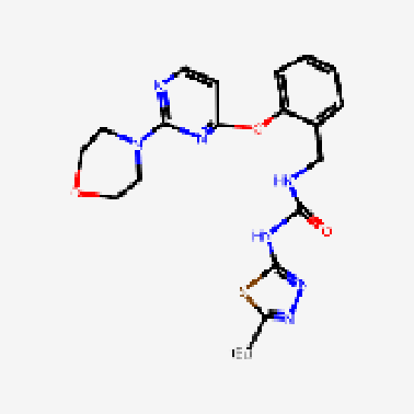 CC(C)(C)c1nnc(NC(=O)NCc2ccccc2Oc2ccnc(N3CCOCC3)n2)s1